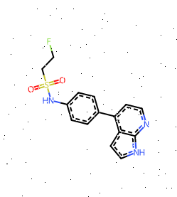 O=S(=O)(CCF)Nc1ccc(-c2ccnc3[nH]ccc23)cc1